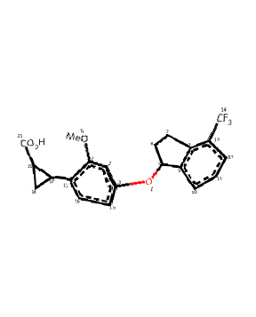 COc1cc(OC2CCc3c2cccc3C(F)(F)F)ccc1C1CC1C(=O)O